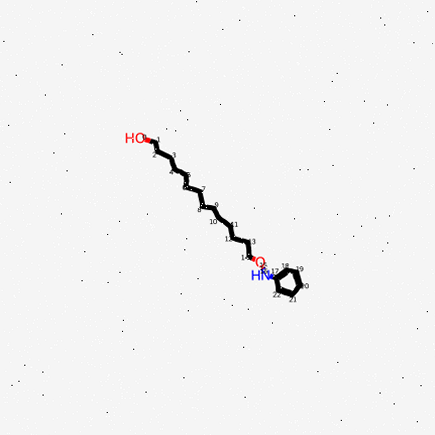 OCCCCCCCCCCCCCCONc1ccccc1